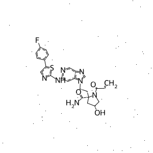 C=CC(=O)N1CC(O)CC1(CCn1cnc2cnc(Nc3ncc(-c4ccc(F)cc4)s3)cc21)C(N)=O